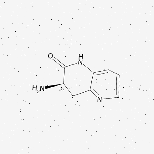 N[C@@H]1Cc2ncccc2NC1=O